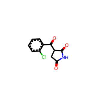 O=C1CC(C(=O)c2ccccc2Cl)C(=O)N1